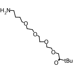 CC(C)(C)C(=O)COCCOCCOCCOCCCCN